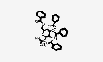 N=C(O[C@H]1OC(COC(=O)c2ccccc2)[C@H](OC(=O)c2ccccc2)C(OC(=O)c2ccccc2)C1OC(=O)c1ccccc1)C(Cl)(Cl)Cl